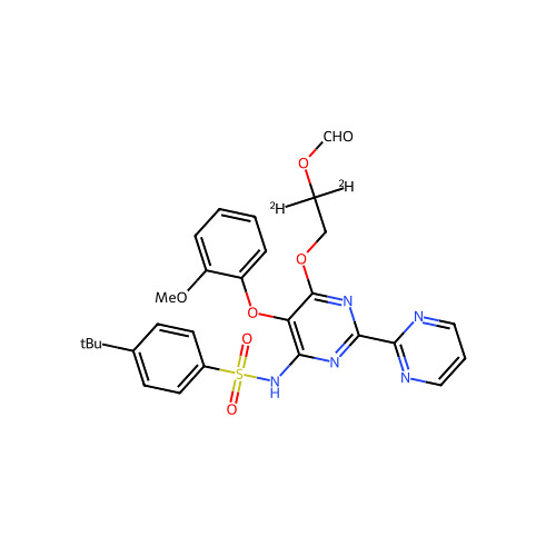 [2H]C([2H])(COc1nc(-c2ncccn2)nc(NS(=O)(=O)c2ccc(C(C)(C)C)cc2)c1Oc1ccccc1OC)OC=O